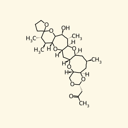 CC(=O)C[C@@H]1OC[C@@H]2O[C@@H]3C[C@@H]4O[C@H]5C(OC6(CCCO6)[C@@H](C)[C@@H]5C)[C@@H](O)[C@H](C)[C@H]4O[C@H]3C[C@@H](C)C[C@H]2O1